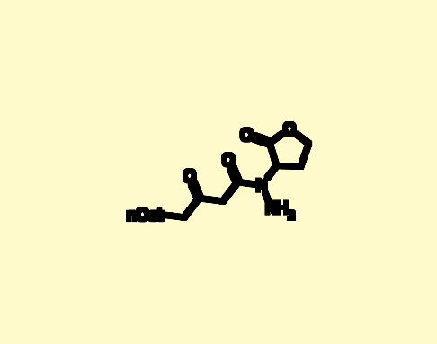 CCCCCCCCCC(=O)CC(=O)N(N)C1CCOC1=O